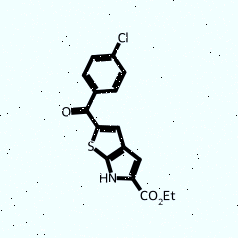 CCOC(=O)c1cc2cc(C(=O)c3ccc(Cl)cc3)sc2[nH]1